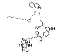 CCCCCCCC/C=C\CCCC(CCCC/C=C(\C#N)c1c[nH]c2ccc(NC(=O)CCCC[C@H]3SC[C@H]4NC(=O)N[C@H]43)cc12)c1nccc2ccccc12